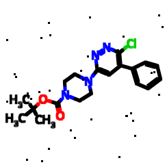 CC(C)(C)OC(=O)N1CCN(c2cc(-c3ccccc3)c(Cl)nn2)CC1